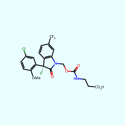 COc1ccc(Cl)cc1[C@]1(F)C(=O)N(COC(=O)NCCC(=O)O)c2cc(C(F)(F)F)ccc21